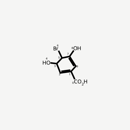 O=C(O)C1=CC(O)C(Br)C(O)=C1